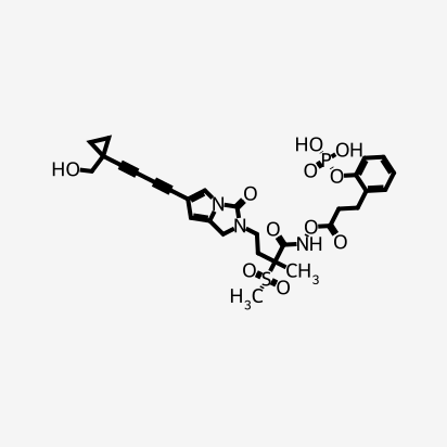 CC(CCN1Cc2cc(C#CC#CC3(CO)CC3)cn2C1=O)(C(=O)NOC(=O)CCc1ccccc1OP(=O)(O)O)S(C)(=O)=O